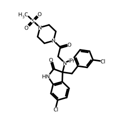 CC(C)N(CC(=O)N1CCN(S(C)(=O)=O)CC1)C1(Cc2cccc(Cl)c2)C(=O)Nc2cc(Cl)ccc21